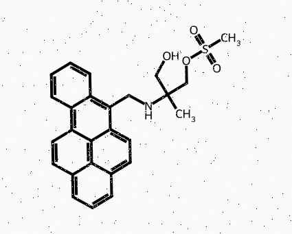 CC(CO)(COS(C)(=O)=O)NCc1c2ccccc2c2ccc3cccc4ccc1c2c43